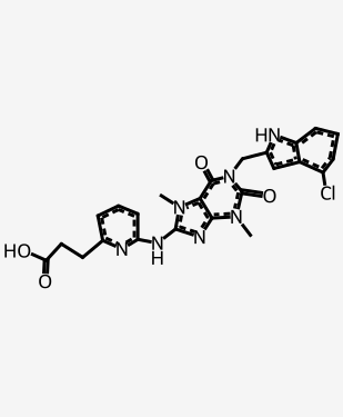 Cn1c(Nc2cccc(CCC(=O)O)n2)nc2c1c(=O)n(Cc1cc3c(Cl)cccc3[nH]1)c(=O)n2C